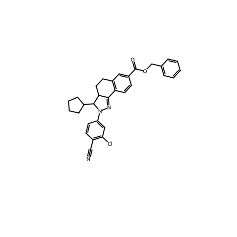 N#Cc1ccc(N2N=C3c4ccc(C(=O)OCc5ccccc5)cc4CCC3C2C2CCCC2)cc1Cl